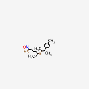 CCC(/C=C/C=C(\S)N=O)S/C(C)=C(\C)c1ccc(C)cc1